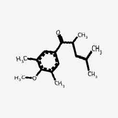 COc1c(C)cc(C(=O)C(C)CC(C)C)cc1C